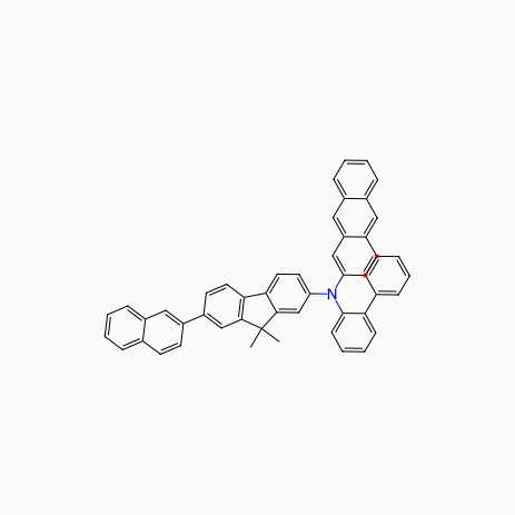 CC1(C)c2cc(-c3ccc4ccccc4c3)ccc2-c2ccc(N(c3ccc4cc5ccccc5cc4c3)c3ccccc3-c3ccccc3)cc21